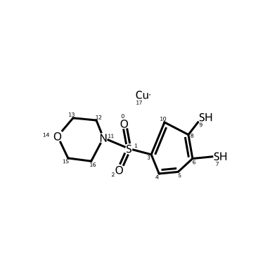 O=S(=O)(c1ccc(S)c(S)c1)N1CCOCC1.[Cu]